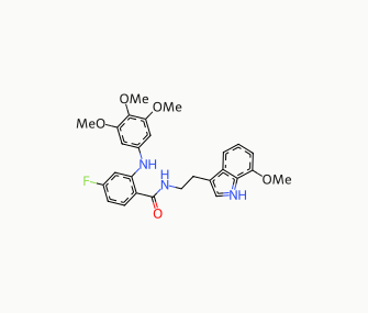 COc1cc(Nc2cc(F)ccc2C(=O)NCCc2c[nH]c3c(OC)cccc23)cc(OC)c1OC